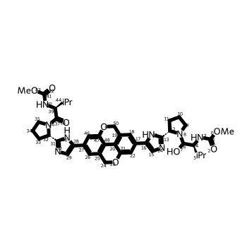 COC(=O)N[C@@H](C(C)C)C(O)N1CCC[C@H]1c1ncc(-c2cc3c4c(c2)OCc2cc(-c5cnc([C@@H]6CCCN6C(=O)[C@@H](NC(=O)OC)C(C)C)[nH]5)cc(c2-4)OC3)[nH]1